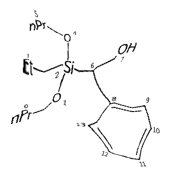 CCCO[Si](CC)(OCCC)C(O)c1ccccc1